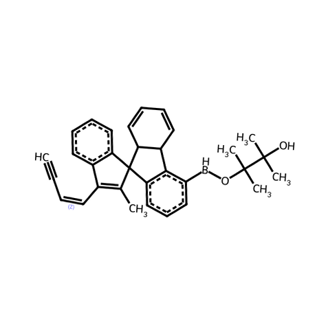 C#C/C=C\C1=C(C)C2(c3ccccc31)c1cccc(BOC(C)(C)C(C)(C)O)c1C1C=CC=CC12